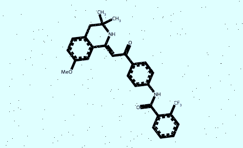 COc1ccc2c(c1)C(=CC(=O)c1ccc(NC(=O)c3ccccc3C(F)(F)F)cc1)NC(C)(C)C2